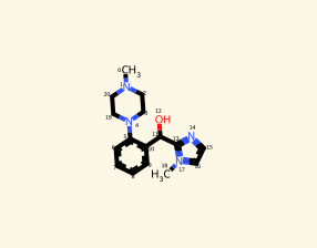 CN1CCN(c2ccccc2C(O)c2nccn2C)CC1